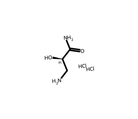 Cl.Cl.NC[C@@H](O)C(N)=O